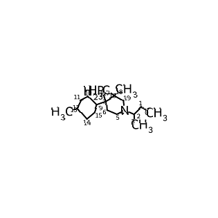 CCC(C)N1CCC(P)(C2CCC(C)CC2)C(C)(C)C1